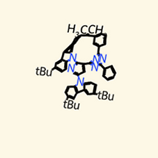 CC(C)(C)c1ccc2c(c1)c1cc(C(C)(C)C)ccc1n2-c1cnc2c(c1)-c1nc(-c3ccccc3)nc(n1)-c1cccc(c1)C(C)(C)c1ccc3c(c1)c1cc(C(C)(C)C)ccc1n3-2